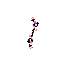 CC(C)(O)CON1C(C)(C)CCC(OC(=O)CCCCC(=O)OC2CCC(C)(C)N(OCC(C)(C)O)C2(C)C)C1(C)C